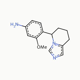 COc1cc(N)ccc1C1CCCc2cncn21